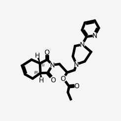 CCC(=O)OC(CN1CCN(c2ccccn2)CC1)CN1C(=O)[C@H]2CC=CC[C@H]2C1=O